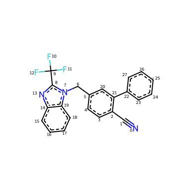 N#Cc1ccc(Cn2c(C(F)(F)F)nc3ccccc32)cc1-c1cc[c]cc1